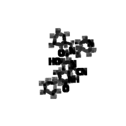 N#Cc1nc(C(=O)N(Cc2ccccc2)Cc2ccncc2)c(O)c2cc(-c3ccccc3)c(=O)[nH]c12